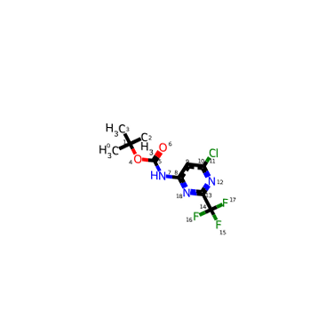 CC(C)(C)OC(=O)Nc1cc(Cl)nc(C(F)(F)F)n1